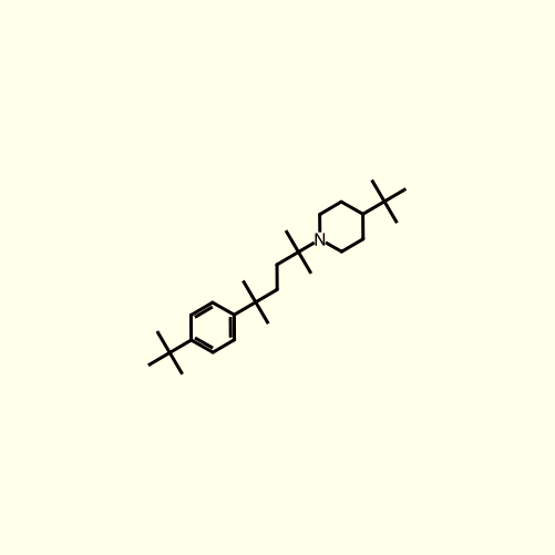 CC(C)(C)c1ccc(C(C)(C)CCC(C)(C)N2CCC(C(C)(C)C)CC2)cc1